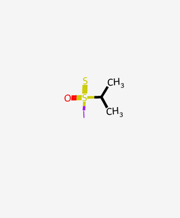 CC(C)S(=O)(=S)I